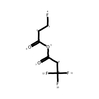 O=C(CCF)OC(=O)CC(F)(F)F